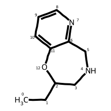 CCC1CNCc2ncccc2O1